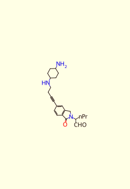 CCCC(C=O)N1Cc2cc(C#CCCNC3CCC(N)CC3)ccc2C1=O